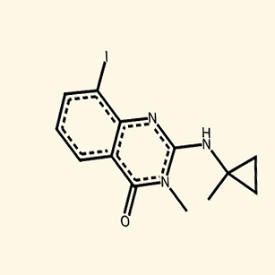 Cn1c(NC2(C)CC2)nc2c(I)cccc2c1=O